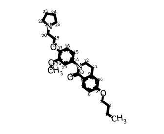 CCCCOc1ccc2c(c1)CCN(c1ccc(OCCN3CCCC3)c(OC)c1)C2=O